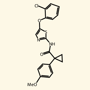 COc1ccc(C2(C(=O)Nc3ncc(Oc4ccccc4Cl)s3)CC2)cc1